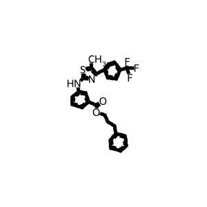 Cc1sc(Nc2cccc(C(=O)OCCCc3ccccc3)c2)nc1-c1ccc(C(F)(F)F)cc1